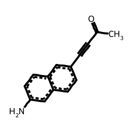 CC(=O)C#Cc1ccc2cc(N)ccc2c1